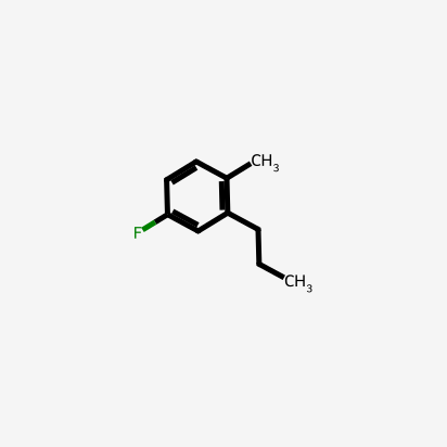 CCCc1cc(F)ccc1C